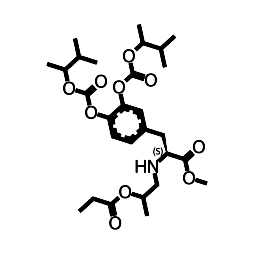 CCC(=O)OC(C)CN[C@@H](Cc1ccc(OC(=O)OC(C)C(C)C)c(OC(=O)OC(C)C(C)C)c1)C(=O)OC